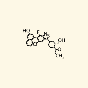 C=CC(=O)C1CCC(c2snc3c(F)c(-c4cc(O)cc5ccccc45)c(Cl)cc23)C[C@@H]1CO